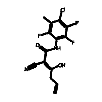 C=CCC(O)=C(C#N)C(=O)Nc1c(F)c(C)c(Cl)c(F)c1F